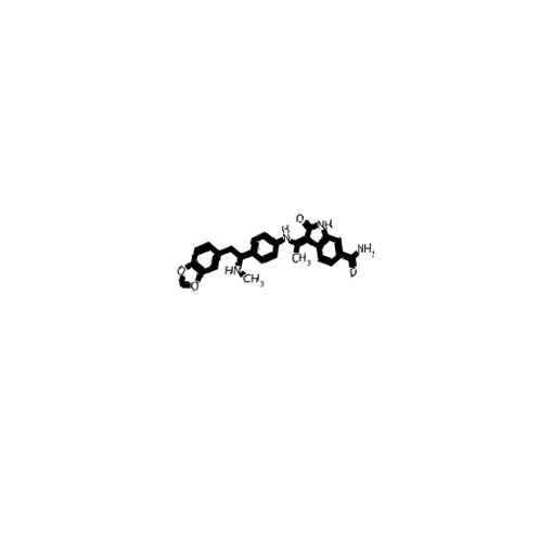 CNC(Cc1ccc2c(c1)OCO2)c1ccc(NC(C)=C2C(=O)Nc3cc(C(N)=O)ccc32)cc1